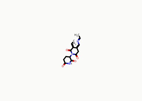 C/C=N/C=C1/CC(=O)N(C2CCC(=O)NC2=O)C(=O)/C1=C/C